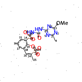 COc1nc(C)nc(NC(=O)NS(=O)(=O)c2cccc3c2OS(=O)(=O)C(C)=C3)n1